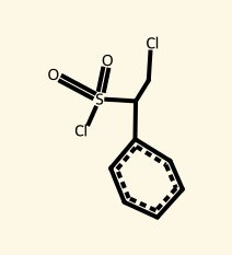 O=S(=O)(Cl)C(CCl)c1ccccc1